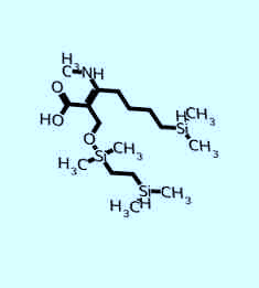 CNC(CCCC[SiH](C)C)=C(CO[Si](C)(C)CC[SiH](C)C)C(=O)O